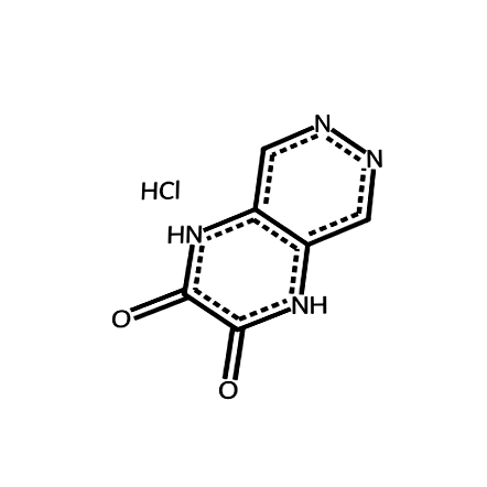 Cl.O=c1[nH]c2cnncc2[nH]c1=O